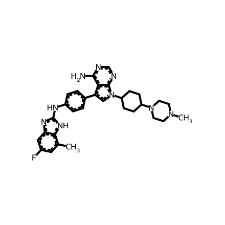 Cc1cc(F)cc2nc(Nc3ccc(-c4cn(C5CCC(N6CCN(C)CC6)CC5)c5ncnc(N)c45)cc3)[nH]c12